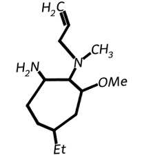 C=CCN(C)C1C(N)CCC(CC)CC1OC